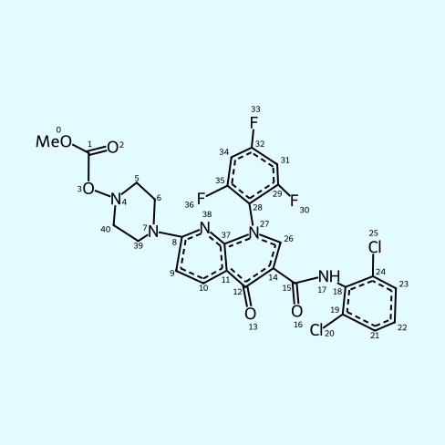 COC(=O)ON1CCN(c2ccc3c(=O)c(C(=O)Nc4c(Cl)cccc4Cl)cn(-c4c(F)cc(F)cc4F)c3n2)CC1